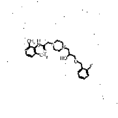 Cc1cccc(C)c1NC(=O)CN1CCN(CC(O)COCc2ccccc2F)CC1